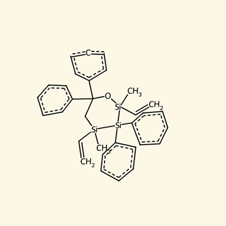 C=C[Si]1(C)CC(c2ccccc2)(c2ccccc2)O[Si](C)(C=C)[Si]1(c1ccccc1)c1ccccc1